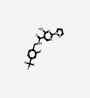 O=C(NCc1ccc(C(F)(F)F)cc1F)c1cnc(-n2cccn2)nc1O